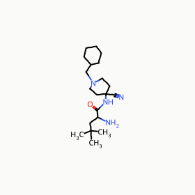 CC(C)(C)CC(N)C(=O)NC1(C#N)CCN(CC2CCCCC2)CC1